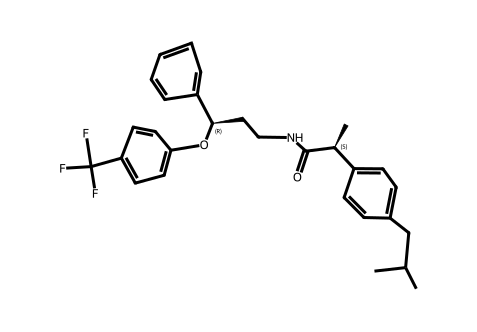 CC(C)Cc1ccc([C@H](C)C(=O)NCC[C@@H](Oc2ccc(C(F)(F)F)cc2)c2ccccc2)cc1